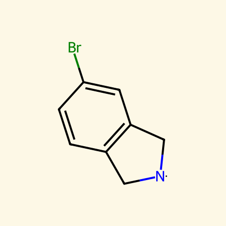 Brc1ccc2c(c1)C[N]C2